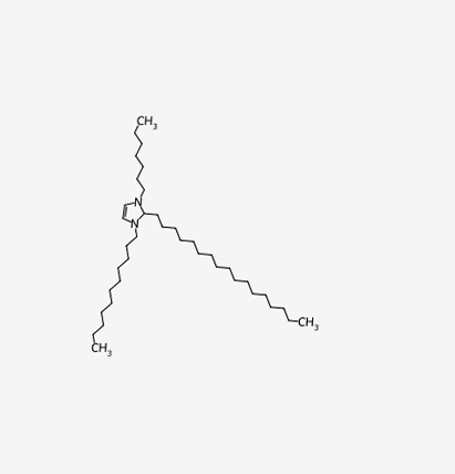 CCCCCCCCCCCCCCCCCC1N(CCCCCCC)C=CN1CCCCCCCCCCC